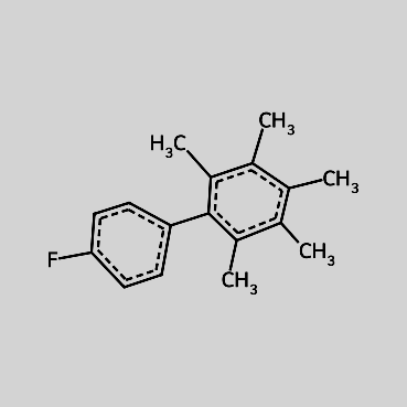 Cc1c(C)c(C)c(-c2ccc(F)cc2)c(C)c1C